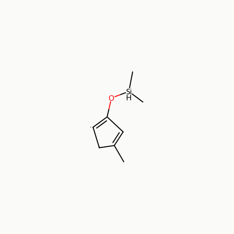 CC1=CC(O[SiH](C)C)=[C]C1